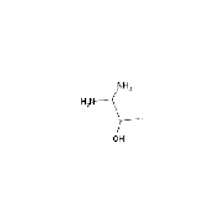 [CH2]C(O)C(N)N